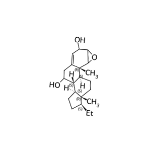 CC[C@H]1CC[C@H]2[C@@H]3C(O)CC4=CC(O)C5OC5[C@]4(C)[C@H]3CC[C@]12C